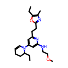 CCc1oc(CCc2cc(N3C=CCCC3CC)cc(NCCOC)n2)nc1C